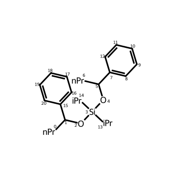 CCCC(O[Si](OC(CCC)c1ccccc1)(C(C)C)C(C)C)c1ccccc1